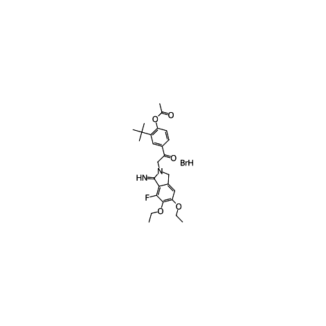 Br.CCOc1cc2c(c(F)c1OCC)C(=N)N(CC(=O)c1ccc(OC(C)=O)c(C(C)(C)C)c1)C2